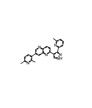 Cc1cccc(-c2n[nH]cc2-c2ccc3ncc(-c4ccc(C)nc4C)cc3n2)n1